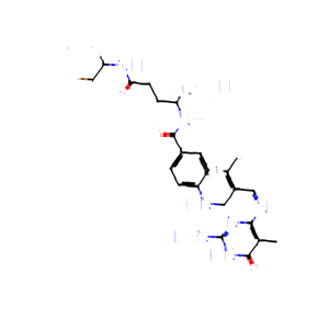 CC/C(C)=C(/C=N\c1nc(N)[nH]c(=O)c1C)CNc1ccc(C(=O)NC(CCC(=O)NC(CS)C(=O)O)C(=O)O)cc1